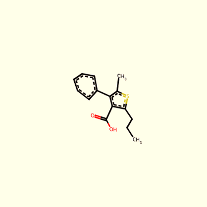 CCCc1sc(C)c(-c2ccccc2)c1C(=O)O